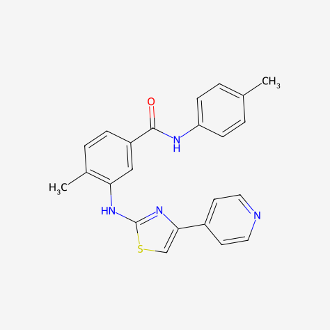 Cc1ccc(NC(=O)c2ccc(C)c(Nc3nc(-c4ccncc4)cs3)c2)cc1